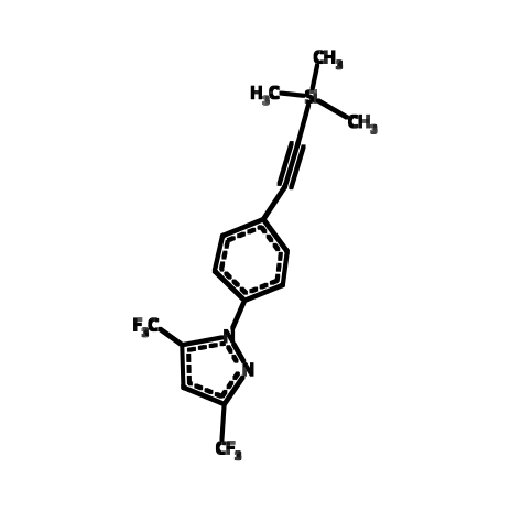 C[Si](C)(C)C#Cc1ccc(-n2nc(C(F)(F)F)cc2C(F)(F)F)cc1